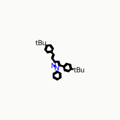 CC(C)(C)c1ccc(C=Cc2cc(-c3ccc(C(C)(C)C)cc3)n(-c3ccccc3)n2)cc1